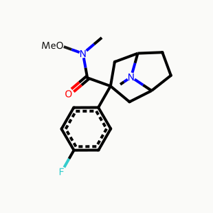 CON(C)C(=O)C1(c2ccc(F)cc2)CC2CCC(C1)N2C